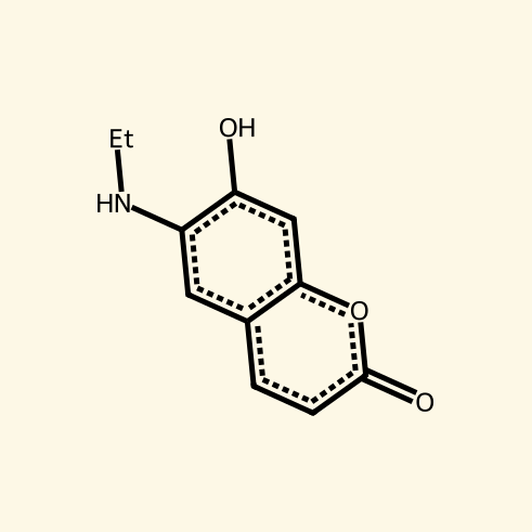 CCNc1cc2ccc(=O)oc2cc1O